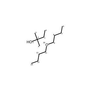 CCC(C)(C)O.CCCCOCCCC